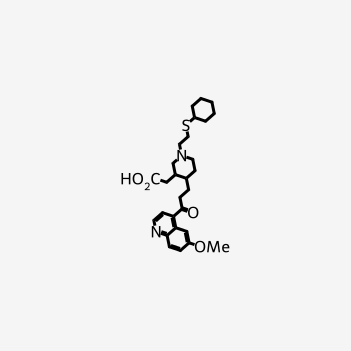 COc1ccc2nccc(C(=O)CCC3CCN(CCSC4CCCCC4)CC3CC(=O)O)c2c1